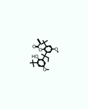 C=CC(=O)Oc1c(C(C)(C)C)cc(OC)cc1C(C)(CC)c1cc(OC)cc(C(C)(C)C)c1O